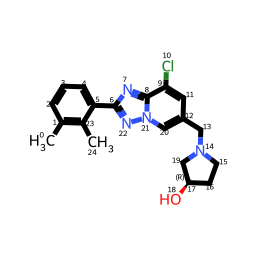 Cc1cccc(-c2nc3c(Cl)cc(CN4CC[C@@H](O)C4)cn3n2)c1C